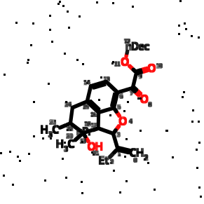 C=C(CC)C1Oc2c(C(=O)C(=O)OCCCCCCCCCC)ccc3c2C1(CCC)C(C)(O)C(C)C3